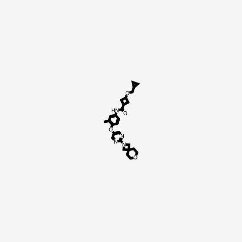 Cc1cc(NC(=O)C2CC(OCC3CC3)C2)ccc1Oc1cnc(N2CC3(CCOCC3)C2)nc1